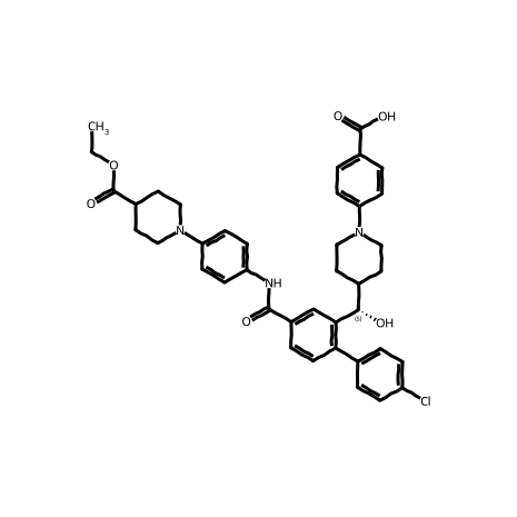 CCOC(=O)C1CCN(c2ccc(NC(=O)c3ccc(-c4ccc(Cl)cc4)c([C@@H](O)C4CCN(c5ccc(C(=O)O)cc5)CC4)c3)cc2)CC1